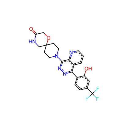 O=C1COC2(CCN(c3nnc(-c4ccc(C(F)(F)F)cc4O)c4cccnc34)CC2)CN1